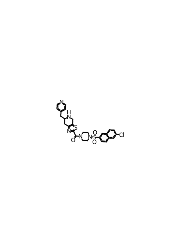 O=C(c1nc2c(s1)CNC(Cc1ccncc1)C2)N1CCN(S(=O)(=O)c2ccc3cc(Cl)ccc3c2)CC1